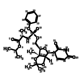 CC(C)OC(=O)[C@H](C)NP(=O)(OC[C@H]1O[C@@H](n2ccc(=O)[nH]c2=O)[C@@H]2OC(C)(C)O[C@@]12C)Oc1ccccc1